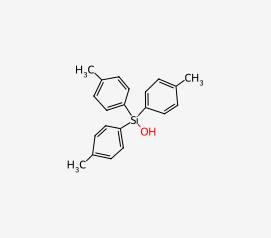 Cc1ccc([Si](O)(c2ccc(C)cc2)c2ccc(C)cc2)cc1